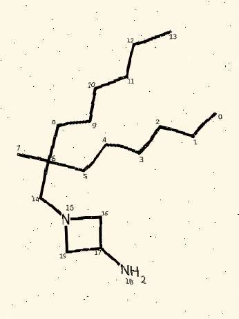 CCCCCCC(C)(CCCCCC)CN1CC(N)C1